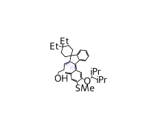 C=c1cc(SC)c(OC(C(C)C)C(C)C)c/c1=C1/C(=C\CCO)C2(CCC(CC)(CC)CC2)c2ccccc21